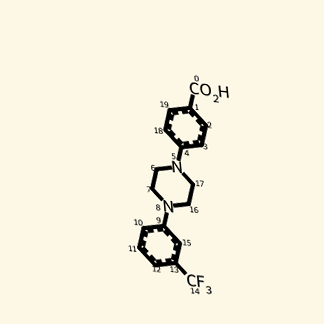 O=C(O)c1ccc(N2CCN(c3cccc(C(F)(F)F)c3)CC2)cc1